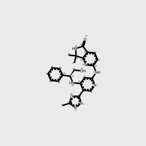 Cc1nnc(-c2cnc(Nc3ccc4c(n3)C(C)(C)NC4=O)cc2N[C@H](CO)c2ccccc2)o1